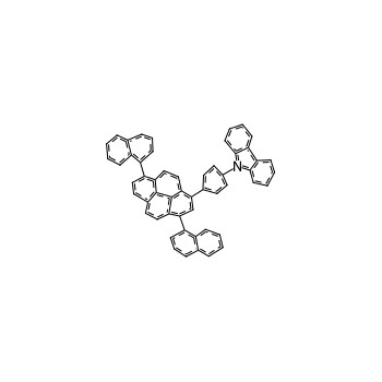 c1ccc2c(-c3ccc4ccc5c(-c6cccc7ccccc67)cc(-c6ccc(-n7c8ccccc8c8ccccc87)cc6)c6ccc3c4c65)cccc2c1